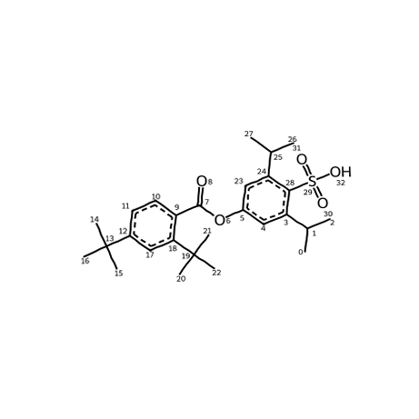 CC(C)c1cc(OC(=O)c2ccc(C(C)(C)C)cc2C(C)(C)C)cc(C(C)C)c1S(=O)(=O)O